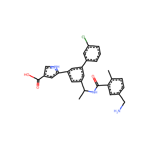 Cc1ccc(CN)cc1C(=O)NC(C)c1cc(-c2cccc(Cl)c2)cc(-c2cc(C(=O)O)c[nH]2)c1